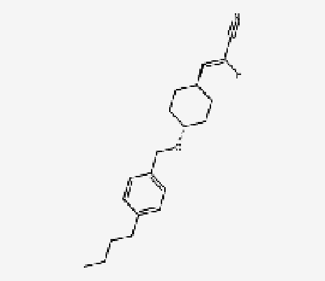 CCCCc1ccc(CO[C@H]2CC[C@H](C=C(F)C#N)CC2)cc1